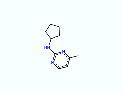 Cc1ccnc(NC2CCCC2)n1